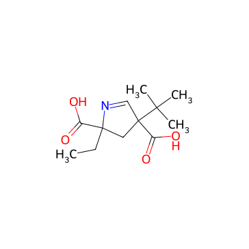 CCC1(C(=O)O)CC(C(=O)O)(C(C)(C)C)C=N1